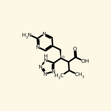 CC(C)C(C(=O)O)[C@H](Cc1cnc(N)nc1)c1nnn[nH]1